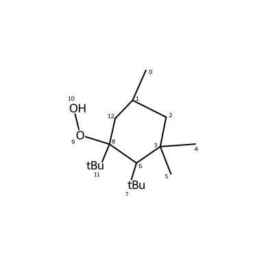 CC1CC(C)(C)C(C(C)(C)C)C(OO)(C(C)(C)C)C1